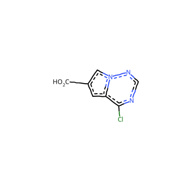 O=C(O)c1cc2c(Cl)ncnn2c1